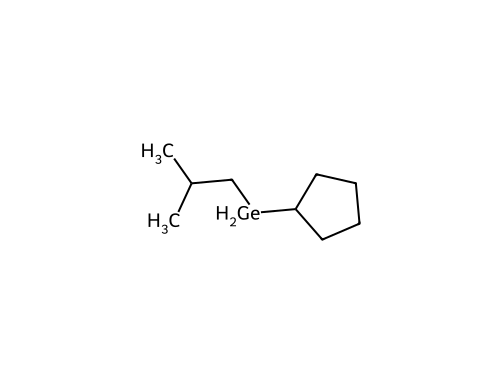 CC(C)[CH2][GeH2][CH]1CCCC1